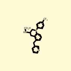 O=C(O)NC1Cc2c(Cc3cccnc3)cccc2N(c2ccc(C(F)(F)F)cc2)C1